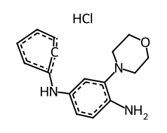 Cl.Nc1ccc(Nc2ccccc2)cc1N1CCOCC1